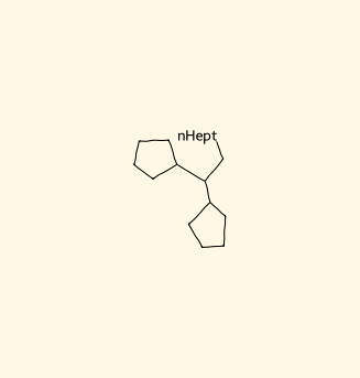 CCCCCCCCC(C1CCCC1)C1CCCC1